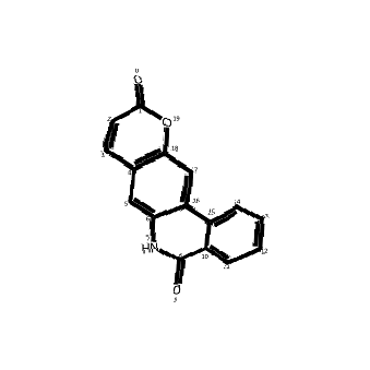 O=c1ccc2cc3[nH]c(=O)c4ccccc4c3cc2o1